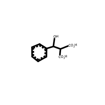 O=C(O)C(C(=O)O)C(O)c1ccccc1